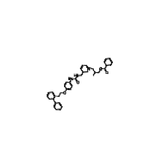 CC(COC(=O)c1ccccc1)C[n+]1cccc(CNC(=O)Nc2ccc(OCCc3ccccc3-c3ccccc3)cc2)c1